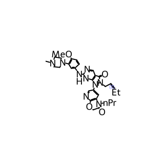 CC/C=C\Cn1c(=O)c2cnc(Nc3ccc(OC)c(N4CCN(C)CC4)c3)nc2n1-c1cnc2c(c1)N(CCC)C(=O)CO2